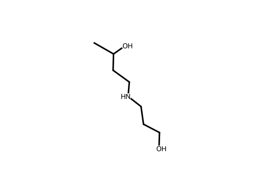 CC(O)CCNCCCO